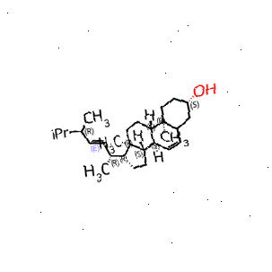 CC(C)[C@@H](C)/C=C/[C@@H](C)[C@H]1CC[C@H]2[C@@H]3C=CC4C[C@@H](O)CC[C@]4(C)[C@H]3CC[C@]12C